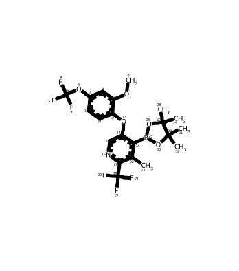 COc1cc(OC(F)(F)F)ccc1Oc1cnc(C(F)(F)F)c(C)c1B1OC(C)(C)C(C)(C)O1